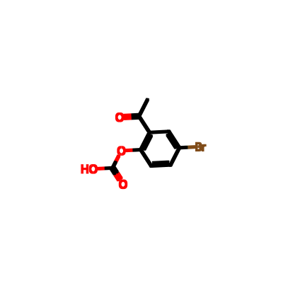 CC(=O)c1cc(Br)ccc1OC(=O)O